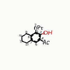 CCCc1c(O)c(C(C)=O)cc2c1CCCC2